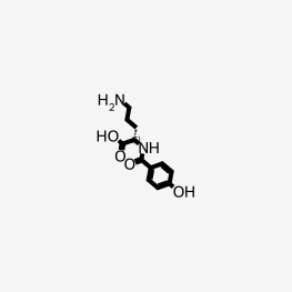 NCCC[C@H](NC(=O)c1ccc(O)cc1)C(=O)O